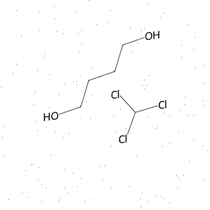 ClC(Cl)Cl.OCCCCO